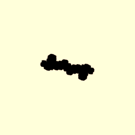 Cc1ccccc1N(c1ccc2cc3c(cc2c1)oc1cc2c(cc13)oc1cc3cc(N(c4ccccc4C)c4cc(C(C)C)ccc4C)ccc3cc12)c1cc(C(C)C)ccc1C